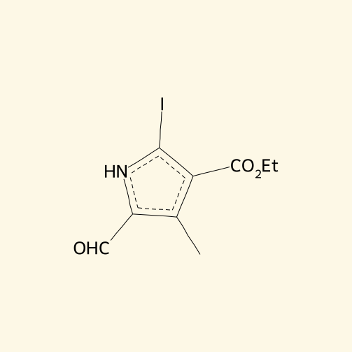 CCOC(=O)c1c(I)[nH]c(C=O)c1C